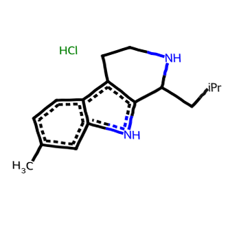 Cc1ccc2c3c([nH]c2c1)C(CC(C)C)NCC3.Cl